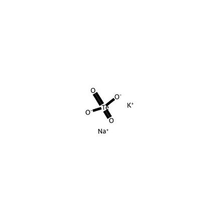 O=[Te](=O)([O-])[O-].[K+].[Na+]